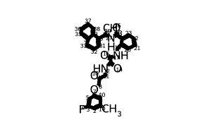 Cc1cc(F)cc(OCC(=O)CNC(=O)C(=O)NCc2ccccc2C(=O)N[C@H](C)c2cccc3ccccc23)c1